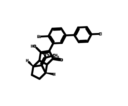 CCc1ccc(-c2ccc(Cl)cc2)cc1C1=C(O)C2C(C1=O)[C@@H]1CC[C@H]2C1=C(C)C